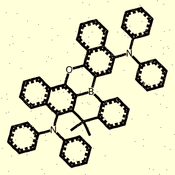 CC1(C)c2ccccc2B2c3cc(N(c4ccccc4)c4ccccc4)c4ccccc4c3Oc3c2c1c(N(c1ccccc1)c1ccccc1)c1ccccc31